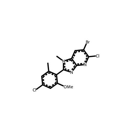 COc1cc(Cl)cc(C)c1-c1nc2nc(Cl)c(Br)cc2n1C